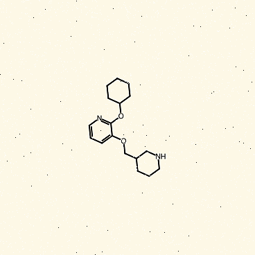 c1cnc(OC2CCCCC2)c(OCC2CCCNC2)c1